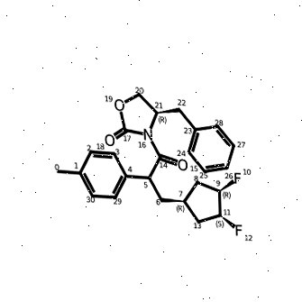 Cc1ccc(C(C[C@H]2C[C@@H](F)[C@@H](F)C2)C(=O)N2C(=O)OC[C@H]2Cc2ccccc2)cc1